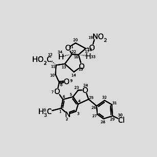 Cc1ncc2c(c1OC(=O)C[C@H](C(=O)O)C1CO[C@@H]3[C@@H](O[N+](=O)[O-])CO[C@H]13)COC2c1ccc(Cl)cc1